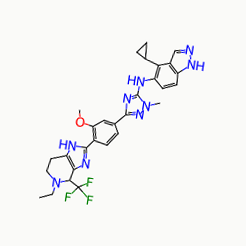 CCN1CCc2[nH]c(-c3ccc(-c4nc(Nc5ccc6[nH]ncc6c5C5CC5)n(C)n4)cc3OC)nc2C1C(F)(F)F